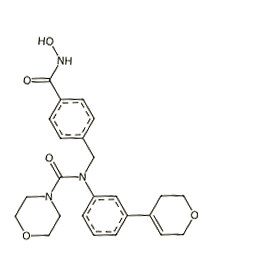 O=C(NO)c1ccc(CN(C(=O)N2CCOCC2)c2cccc(C3=CCOCC3)c2)cc1